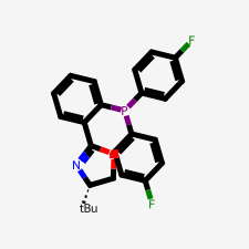 CC(C)(C)[C@H]1COC(c2ccccc2P(c2ccc(F)cc2)c2ccc(F)cc2)=N1